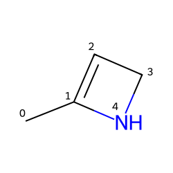 CC1=CCN1